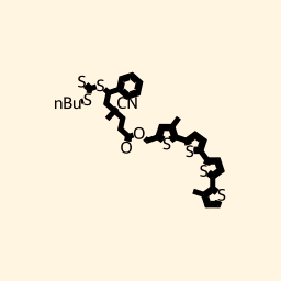 CCCCSC(=S)SC(CC(C)(C#N)CCC(=O)OCc1cc(C)c(-c2ccc(-c3ccc(-c4sccc4C)s3)s2)s1)c1ccccc1